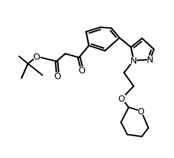 CC(C)(C)OC(=O)CC(=O)c1cccc(-c2ccnn2CCOC2CCCCO2)c1